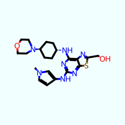 Cn1ccc(Nc2nc(N[C@H]3CC[C@H](N4CCOCC4)CC3)c3nc(CO)sc3n2)c1